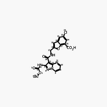 CC(C)(C)OC(=O)Nc1nn2cccnc2c1C(=O)NCc1cc2cc(Cl)cc(C(=O)O)c2o1